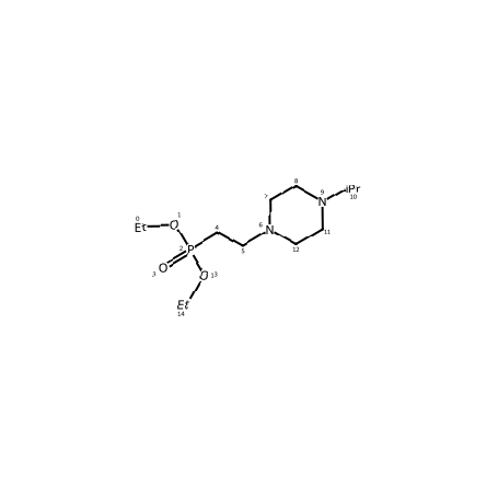 CCOP(=O)(CCN1CCN(C(C)C)CC1)OCC